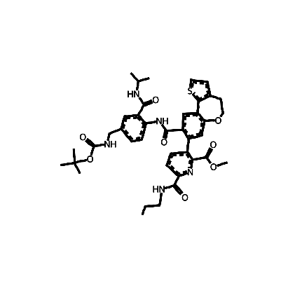 CCCNC(=O)c1ccc(-c2cc3c(cc2C(=O)Nc2ccc(CNC(=O)OC(C)(C)C)cc2C(=O)NC(C)C)-c2sccc2CCO3)c(C(=O)OC)n1